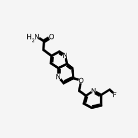 NC(=O)Cc1cnc2cc(OCc3cccc(CF)n3)cnc2c1